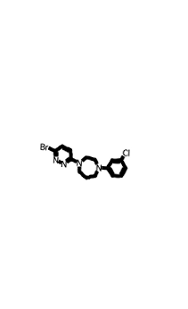 Clc1cccc(N2CCCN(c3ccc(Br)nn3)CC2)c1